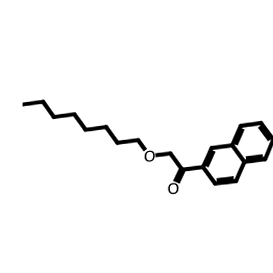 CCCCCCCCOCC(=O)c1ccc2ccccc2c1